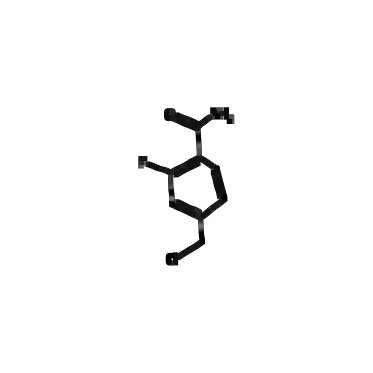 NC(=O)c1ccc(CCl)cc1F